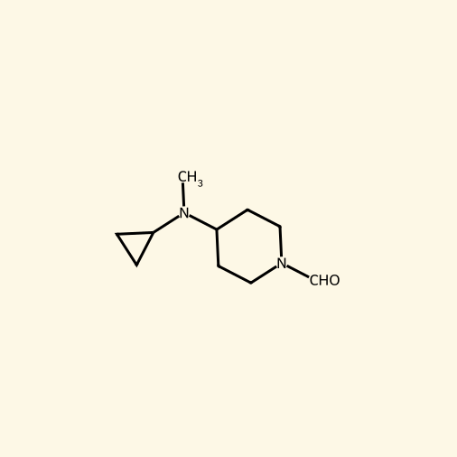 CN(C1CC1)C1CCN(C=O)CC1